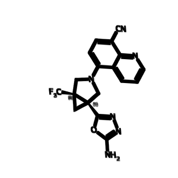 N#Cc1ccc(N2C[C@]3(c4nnc(N)o4)C[C@]3(C(F)(F)F)C2)c2cccnc12